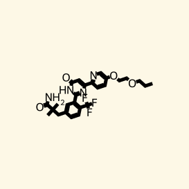 CCCOCCOc1ccc(-c2cc(=O)[nH]c(-c3cc(CC(C)(C)C(N)=O)ccc3C(F)(F)F)n2)nc1